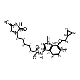 O=C1CN(CCCCCS(=O)(=O)Nc2c[nH]c3c(OCC4CC4)c(F)ccc23)C(=O)N1